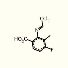 Cc1c(F)ccc(C(=O)O)c1N=CC(Cl)(Cl)Cl